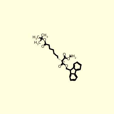 CC(C)(C)OC(=O)CCCCCC[C@H](C(=O)ON)C(=O)OCC1c2ccccc2-c2ccccc21